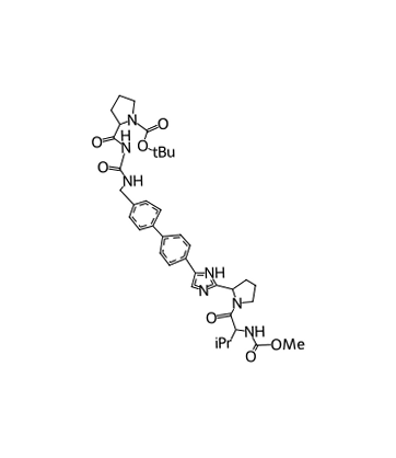 COC(=O)NC(C(=O)N1CCCC1c1ncc(-c2ccc(-c3ccc(CNC(=O)NC(=O)C4CCCN4C(=O)OC(C)(C)C)cc3)cc2)[nH]1)C(C)C